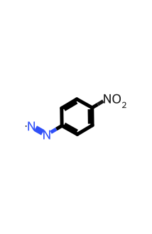 [N]=Nc1ccc([N+](=O)[O-])cc1